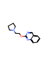 c1ccc2nc(OCCN3CCCC3)ncc2c1